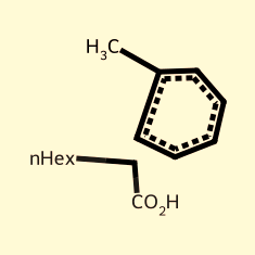 CCCCCCCC(=O)O.Cc1ccccc1